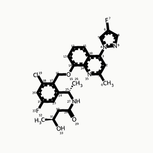 Cc1cc(-n2cc(F)cn2)c2cccc(OCc3c(Cl)cc(F)cc3[C@H](C)NC(=O)C[C@H](C)O)c2n1